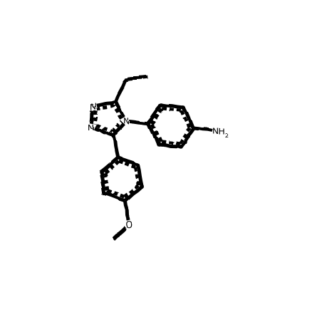 CCc1nnc(-c2ccc(OC)cc2)n1-c1ccc(N)cc1